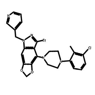 CCc1nn(Cc2cccnc2)c2cc3c(c(N4CCN(c5cccc(Cl)c5C)CC4)c12)OCO3